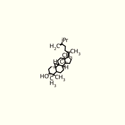 C=C(CC[C@@H](C)[C@H]1CC[C@@]2(C)[C@@H]3CCC4C(C)(C)[C@@H](O)CC[C@@]45CC35CC[C@]12C)C(C)C